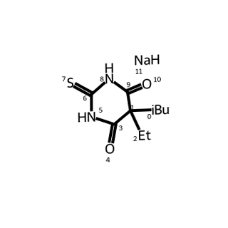 CCC(C)C1(CC)C(=O)NC(=S)NC1=O.[NaH]